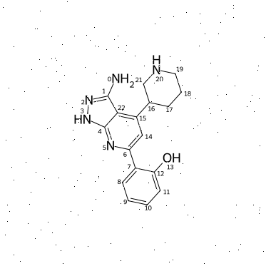 Nc1n[nH]c2nc(-c3ccccc3O)cc(C3CCCNC3)c12